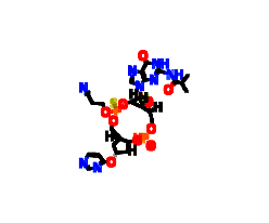 CC(C)C(=O)Nc1nc2c(ncn2[C@@H]2O[C@@H]3CO[PH](=O)O[C@H]4C[C@H](Oc5ccncn5)C[C@@H]4COP(=S)(OCCC#N)O[C@@H]2[C@@H]3F)c(=O)[nH]1